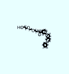 O=C(NCCOCCOCCO)c1ccnc(N2CCC3(CCN(c4ccccc4)C3)C2)c1